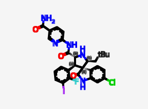 CC(C)(C)C[C@@H]1N[C@@H](C(=O)Nc2ccc(C(N)=O)cn2)[C@H](c2cccc(I)c2F)[C@]12C(=O)Nc1cc(Cl)ccc12